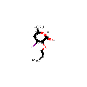 COCCOc1c(I)cc(C(=O)O)oc1=O